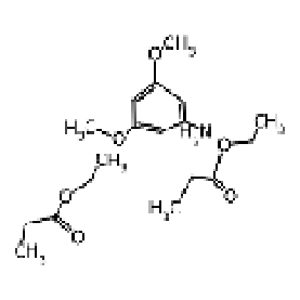 CCOC(=O)CC.CCOC(=O)CC.COc1cc(N)cc(OC)c1